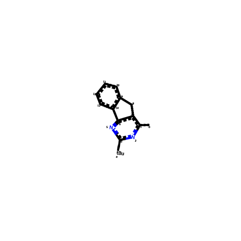 Cc1nc(C(C)(C)C)nc2c1Cc1ccccc1-2